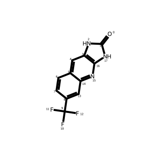 O=c1[nH]c2cc3ccc(C(F)(F)F)cc3nc2[nH]1